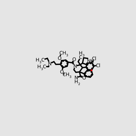 CCN(CC)CCc1c(OC)cc(C(=O)N2CCC(C(N)=O)(c3ccccc3)C(c3ccc(Cl)c(Cl)c3)C2(CC)C2CCNC2)cc1OC